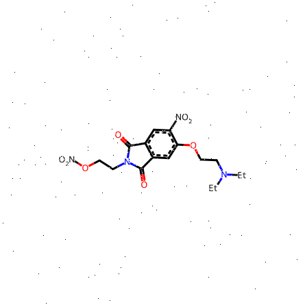 CCN(CC)CCOc1cc2c(cc1[N+](=O)[O-])C(=O)N(CCO[N+](=O)[O-])C2=O